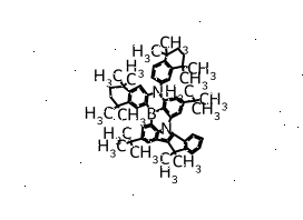 CC(C)(C)c1cc2c3c(c1)-n1c4c(c5cc(C(C)(C)C)cc(c51)B3c1cc3c(cc1N2c1ccc2c(c1)C(C)(C)CCC2(C)C)C(C)(C)CCC3(C)C)C(C)(C)c1ccccc1-4